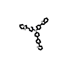 C/C=C(\C=C/Cc1cn2ccccc2n1)N(c1ccc(-c2ccc(-c3ccccn3)cc2)cc1)c1ccc(-c2cc3ccccc3s2)cc1